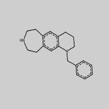 c1ccc(CN2CCCc3cc4c(cc32)CCNCC4)cc1